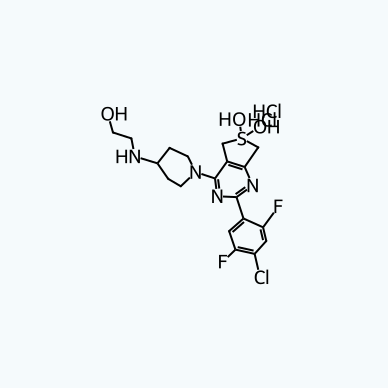 Cl.Cl.OCCNC1CCN(c2nc(-c3cc(F)c(Cl)cc3F)nc3c2CS(O)(O)C3)CC1